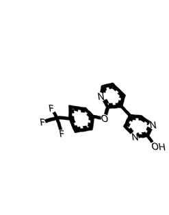 Oc1ncc(-c2cccnc2Oc2ccc(C(F)(F)F)cc2)cn1